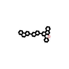 c1ccc2c(c1)Oc1cc3ccccc3c3cc(-c4ccc5cc(-c6ccc7c(ccc8ccccc87)c6)ccc5c4)cc-2c13